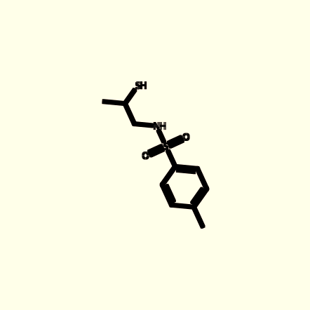 Cc1ccc(S(=O)(=O)NCC(C)S)cc1